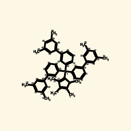 CC1=C(C)C(C)C([Si](c2cccc(-c3cc(C)cc(C)c3)c2)(c2cccc(-c3cc(C)cc(C)c3)c2)c2cccc(-c3cc(C)cc(C)c3)c2)=C1C